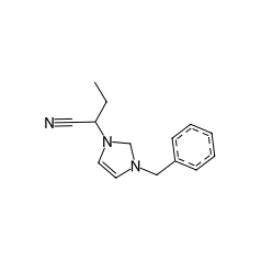 CCC(C#N)N1C=CN(Cc2ccccc2)C1